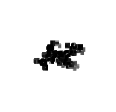 CC(C)(C)OC(=O)C1CN(C(=O)OC(C)(C)C)CCN1C(=O)C1(NC(=O)c2cnc3n2[C@](C)(Cc2ccc(N)cc2)C(=O)N3c2cc(Cl)cc(Cl)c2)CC1